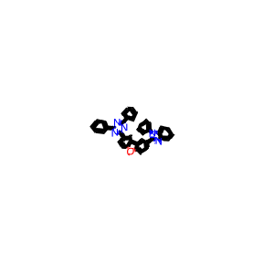 c1ccc(-c2nc(-c3ccccc3)nc(-c3ccc4oc5ccc(-c6nc7ccccc7n6-c6ccccc6)cc5c4c3)n2)cc1